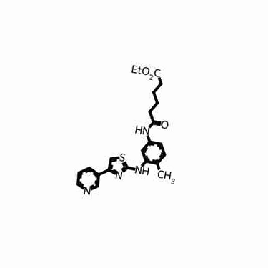 CCOC(=O)CCCCC(=O)Nc1ccc(C)c(Nc2nc(-c3cccnc3)cs2)c1